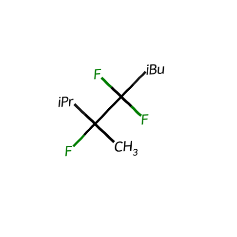 CCC(C)C(F)(F)C(C)(F)C(C)C